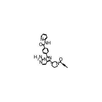 CC#CC(=O)N1CCC[C@@H](c2nc(-c3ccc(C(=O)Nc4ccccn4)cc3)n3c(N)nccc23)C1